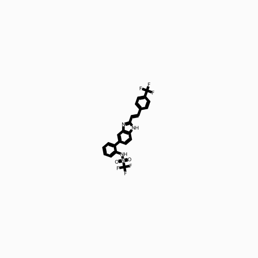 O=S(=O)(Nc1ccccc1-c1ccc2[nH]c(C=Cc3ccc(C(F)(F)F)cc3)nc2c1)C(F)(F)F